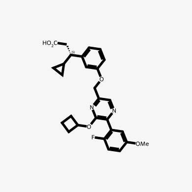 COc1ccc(F)c(-c2ncc(COc3cccc([C@@H](CC(=O)O)C4CC4)c3)nc2OC2CCC2)c1